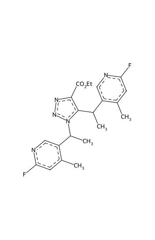 CCOC(=O)c1nnn(C(C)c2cnc(F)cc2C)c1C(C)c1cnc(F)cc1C